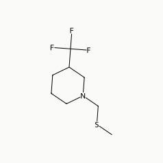 CSCN1CCCC(C(F)(F)F)C1